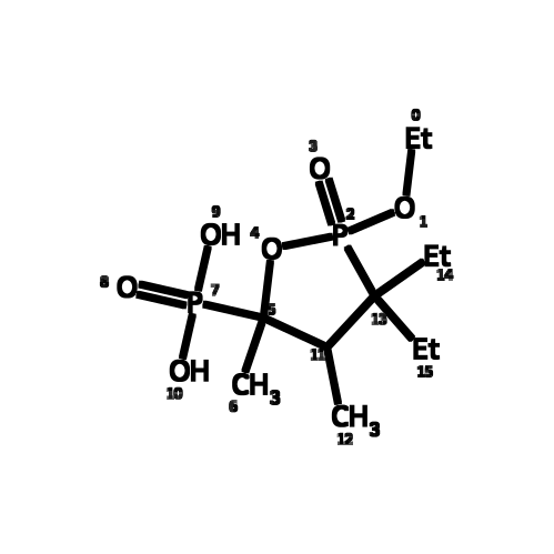 CCOP1(=O)OC(C)(P(=O)(O)O)C(C)C1(CC)CC